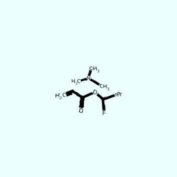 C=CC(=O)OC(F)CCC.CN(C)C